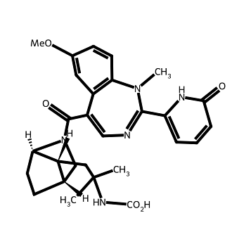 COc1ccc2c(c1)C(C(=O)N1C[C@@H]3CC[C@@H]1[C@@H]3CC(C)(C)NC(=O)O)=CN=C(c1cccc(=O)[nH]1)N2C